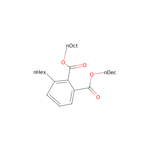 CCCCCCCCCCOC(=O)c1cccc(CCCCCC)c1C(=O)OCCCCCCCC